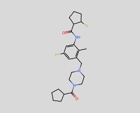 Cc1c(CN2CCN(C(=O)C3CCCC3)CC2)cc(F)cc1NC(=O)C1CCCC1F